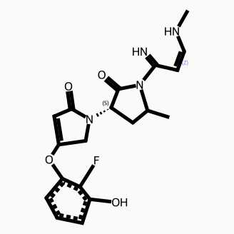 CN/C=C\C(=N)N1C(=O)[C@@H](N2CC(Oc3cccc(O)c3F)=CC2=O)CC1C